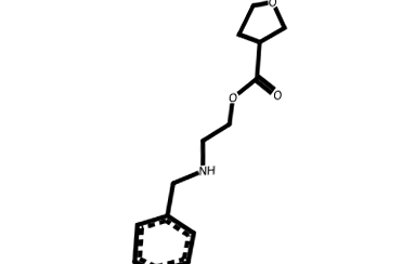 O=C(OCCNCc1ccccc1)C1CCOC1